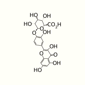 O=C(O)[C@H]1O[C@@H](Oc2ccc(-c3oc4cc(O)cc(O)c4c(=O)c3O)cc2O)[C@H](O)[C@@H](O)[C@@H]1O